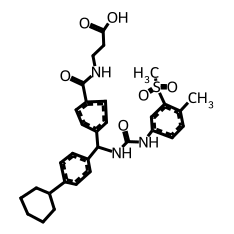 Cc1ccc(NC(=O)NC(c2ccc(C(=O)NCCC(=O)O)cc2)c2ccc(C3CCCCC3)cc2)cc1S(C)(=O)=O